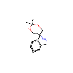 Cc1ccccc1C1(N)COC(C)(C)OC1